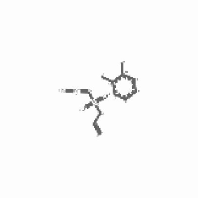 C=CCS(=O)(=O)C=[N+]=[N-].Cc1ccccc1C